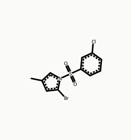 [CH2]c1cc(Br)n(S(=O)(=O)c2cccc(Cl)c2)c1